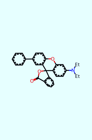 CCN(CC)c1ccc2c(c1)Oc1ccc(-c3ccccc3)cc1C21OC(=O)c2ccccc21